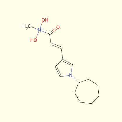 C[N+](O)(O)C(=O)/C=C/c1ccn(C2CCCCCC2)c1